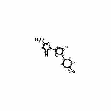 Cc1c[nH]c(-c2ccc(-c3ccc(Br)cc3)o2)n1.Cl